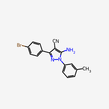 Cc1cccc(-n2nc(-c3ccc(Br)cc3)c(C#N)c2N)c1